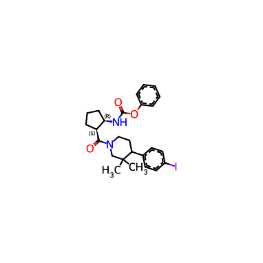 CC1(C)CN(C(=O)[C@H]2CCC[C@H]2NC(=O)Oc2ccccc2)CCC1c1ccc(I)cc1